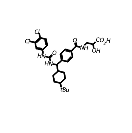 CC(C)(C)C1CCC(C(NC(=O)Nc2ccc(Cl)c(Cl)c2)c2ccc(C(=O)NCC(O)C(=O)O)cc2)CC1